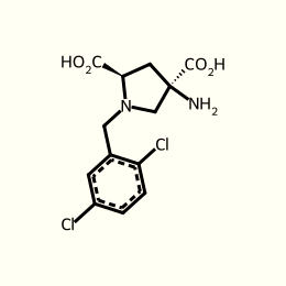 N[C@]1(C(=O)O)C[C@H](C(=O)O)N(Cc2cc(Cl)ccc2Cl)C1